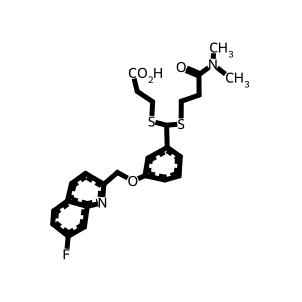 CN(C)C(=O)CCSC(SCCC(=O)O)c1cccc(OCc2ccc3ccc(F)cc3n2)c1